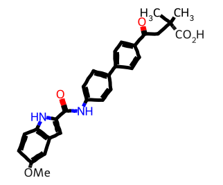 COc1ccc2[nH]c(C(=O)Nc3ccc(-c4ccc(C(=O)CC(C)(C)C(=O)O)cc4)cc3)cc2c1